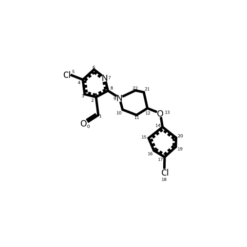 O=Cc1cc(Cl)cnc1N1CCC(Oc2ccc(Cl)cc2)CC1